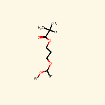 CCC(C)(C)C(=O)OCCCOC(OC(C)C)C(C)C